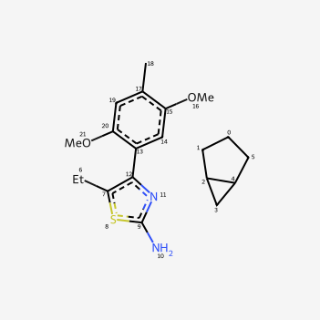 C1CC2CC2C1.CCc1sc(N)nc1-c1cc(OC)c(C)cc1OC